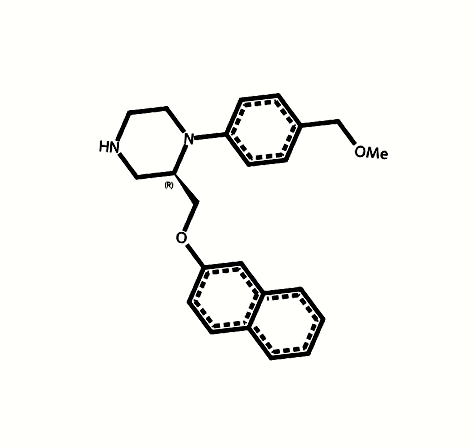 COCc1ccc(N2CCNC[C@@H]2COc2ccc3ccccc3c2)cc1